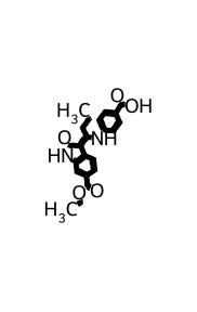 CCCC(Nc1ccc(C(=O)O)cc1)=C1C(=O)Nc2cc(C(=O)OCC)ccc21